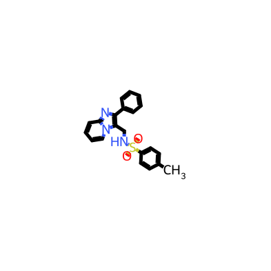 Cc1ccc(S(=O)(=O)NCc2c(-c3ccccc3)nc3ccccn23)cc1